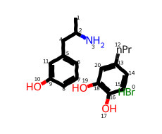 Br.CC(N)Cc1cccc(O)c1.CCCc1ccc(O)c(O)c1